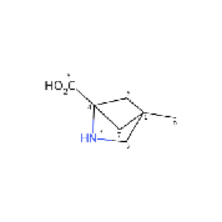 CC12CNC(C(=O)O)(C1)C2